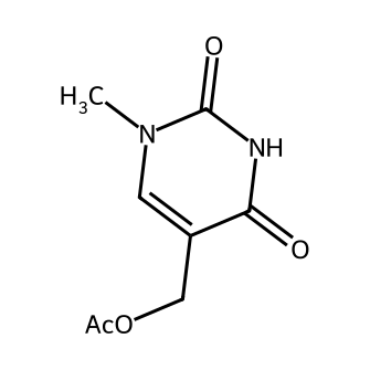 CC(=O)OCc1cn(C)c(=O)[nH]c1=O